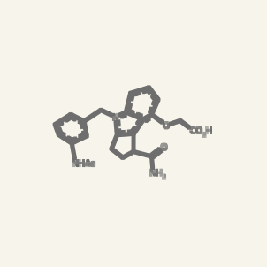 CC(=O)Nc1cccc(Cn2c3c(c4c(OCC(=O)O)cccc42)C(C(N)=O)CC3)c1